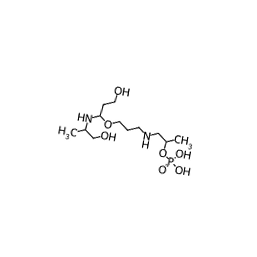 CC(CO)NC(CCO)OCCCNCC(C)OP(=O)(O)O